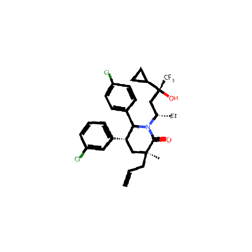 C=CC[C@@]1(C)C[C@H](c2cccc(Cl)c2)C(c2ccc(Cl)cc2)N([C@@H](CC)C[C@@](O)(C2CC2)C(F)(F)F)C1=O